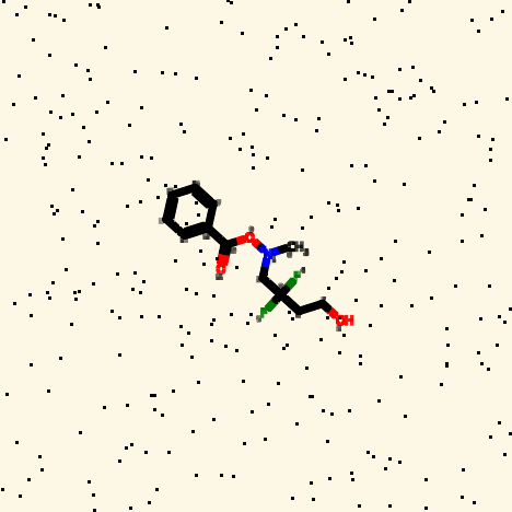 CN(CC(F)(F)CCO)OC(=O)c1ccccc1